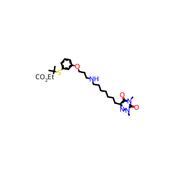 CCOC(=O)C(C)(C)Sc1cccc(OCCCNCCCCCCCc2nn(C)c(=O)n(C)c2=O)c1